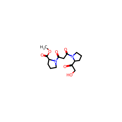 COC(=O)C1CCCN1C(=O)CC(=O)N1CCCC1C(=O)CO